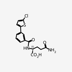 NC(=O)CC[C@H](NC(=O)c1cccc(-c2ccc(Cl)s2)c1)C(=O)O